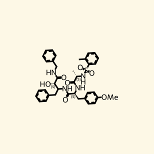 COc1ccc(C[C@H](NC(=O)[C@H](C)NS(=O)(=O)c2ccccc2C)C(=O)NC(Cc2ccccc2)[C@H](O)C(=O)NCc2ccccc2)cc1